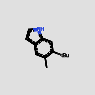 Cc1cc2cc[nH]c2cc1C(C)(C)C